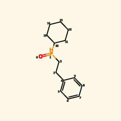 O=[PH](CCc1ccccc1)C1CCCCC1